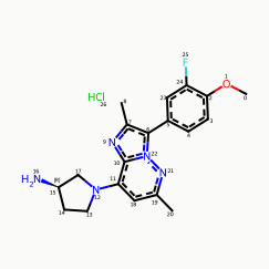 COc1ccc(-c2c(C)nc3c(N4CC[C@@H](N)C4)cc(C)nn23)cc1F.Cl